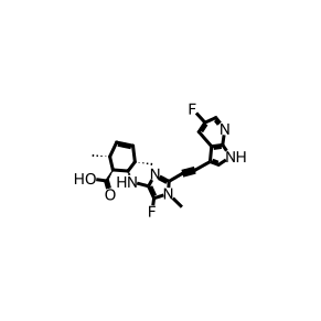 C[C@@H]1C=C[C@H](C)[C@H](Nc2nc(C#Cc3c[nH]c4ncc(F)cc34)n(C)c2F)[C@H]1C(=O)O